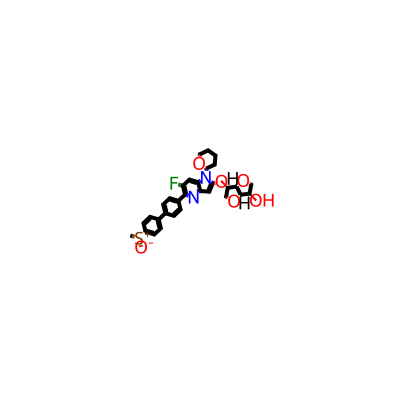 C[S+]([O-])c1ccc(-c2ccc(-c3nc4cc(O[C@@H]5CO[C@H]6[C@@H]5OC[C@H]6O)n(C5CCCCO5)c4cc3F)cc2)cc1